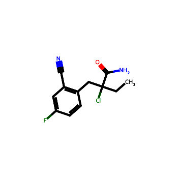 CCC(Cl)(Cc1c[c]c(F)cc1C#N)C(N)=O